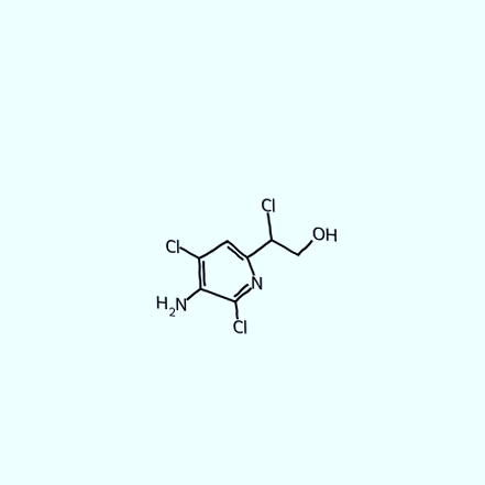 Nc1c(Cl)cc(C(Cl)CO)nc1Cl